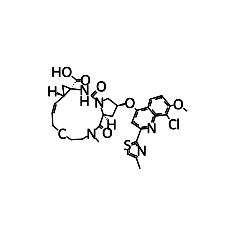 COc1ccc2c(O[C@H]3C[C@H]4C(=O)N(C)CCCC/C=C\[C@@H]5C[C@@]5(C(=O)O)NC(=O)N4C3)cc(-c3nc(C)cs3)nc2c1Cl